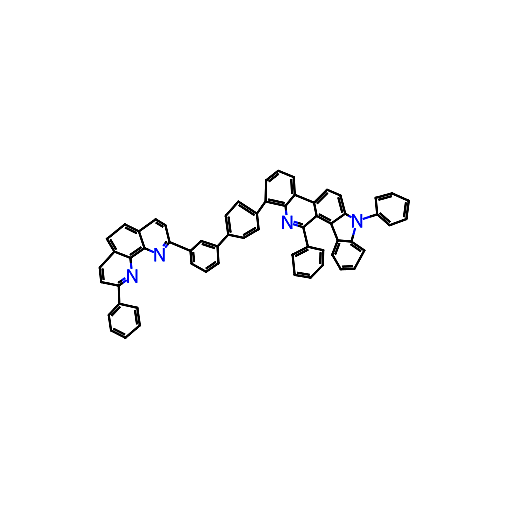 c1ccc(-c2ccc3ccc4ccc(-c5cccc(-c6ccc(-c7cccc8c7nc(-c7ccccc7)c7c8ccc8c7c7ccccc7n8-c7ccccc7)cc6)c5)nc4c3n2)cc1